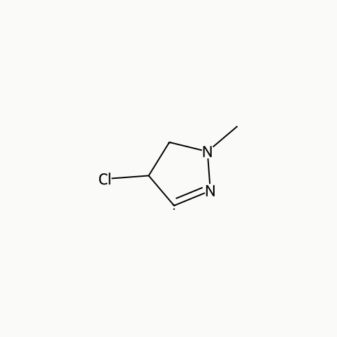 CN1CC(Cl)[C]=N1